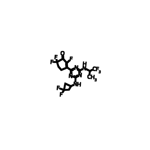 CC(Nc1nc(NC2CC(F)(F)C2)nc(C2=C(F)C(=O)C(F)(F)CC2)n1)C(F)(F)F